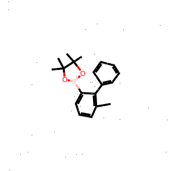 Cc1cccc(B2OC(C)(C)C(C)(C)O2)c1-c1ccccc1